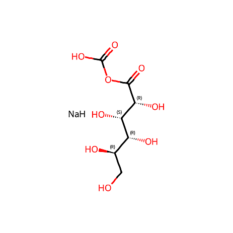 O=C(O)OC(=O)[C@H](O)[C@@H](O)[C@H](O)[C@H](O)CO.[NaH]